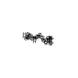 O=C(c1ccc(COc2cccc([C@H](c3ccccc3)N(C(=O)O)[C@H]3CN4CCC3CC4)c2)cc1)N1CCC(NC[C@H](O)c2ccc(O)c3[nH]c(=O)ccc23)CC1